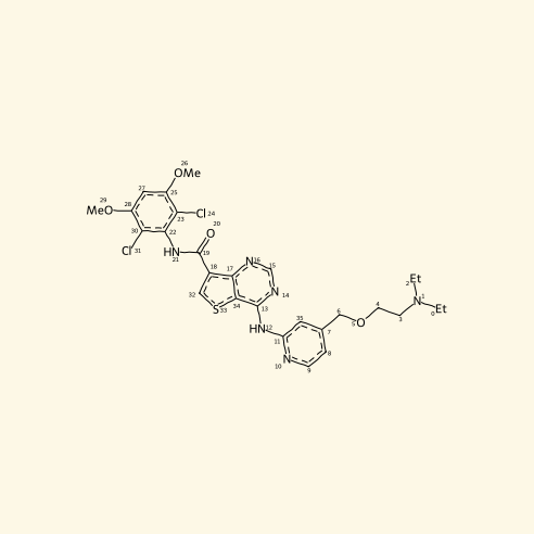 CCN(CC)CCOCc1ccnc(Nc2ncnc3c(C(=O)Nc4c(Cl)c(OC)cc(OC)c4Cl)csc23)c1